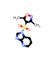 Cc1noc(C)c1S(=O)(=O)n1cnc2ncccc21